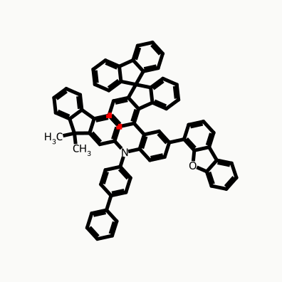 CC1(C)c2ccccc2-c2ccc(N(c3ccc(-c4ccccc4)cc3)c3ccc(-c4cccc5c4oc4ccccc45)cc3-c3cccc4c3-c3ccccc3C43c4ccccc4-c4ccccc43)cc21